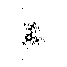 CC(C)(Br)Oc1cc(C#N)ccc1NC(=O)C(C)(C)Br